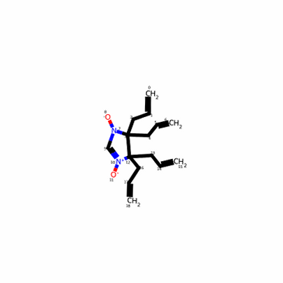 C=CCC1(CC=C)N([O])C=[N+]([O-])C1(CC=C)CC=C